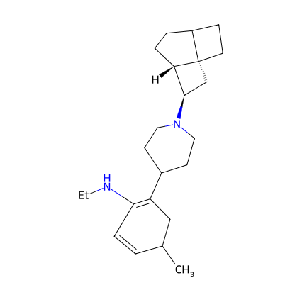 CCNC1=C(C2CCN([C@@H]3C[C@@]45CCC4CC[C@@H]35)CC2)CC(C)C=C1